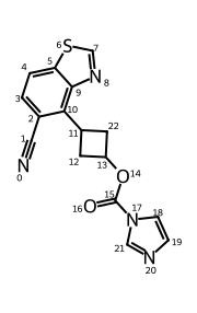 N#Cc1ccc2scnc2c1C1CC(OC(=O)n2ccnc2)C1